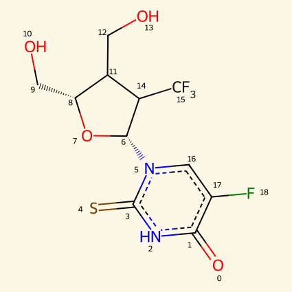 O=c1[nH]c(=S)n([C@@H]2O[C@H](CO)C(CO)C2C(F)(F)F)cc1F